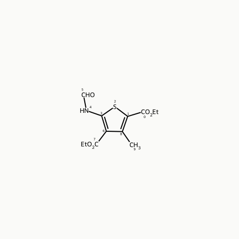 CCOC(=O)c1sc(NC=O)c(C(=O)OCC)c1C